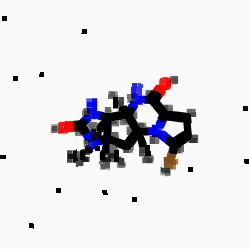 CN1C(=O)N[C@@H]2[C@@H]3NC(=O)c4ccc(Br)n4[C@@H]3C[C@@]21C